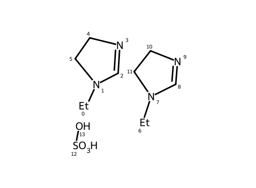 CCN1C=NCC1.CCN1C=NCC1.O=S(=O)(O)O